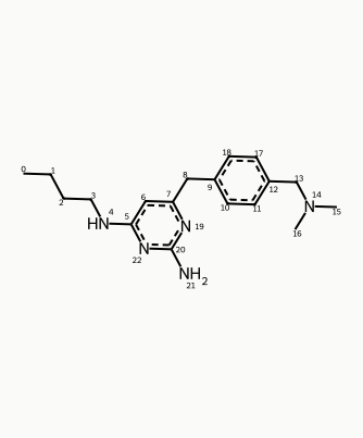 CCCCNc1cc(Cc2ccc(CN(C)C)cc2)nc(N)n1